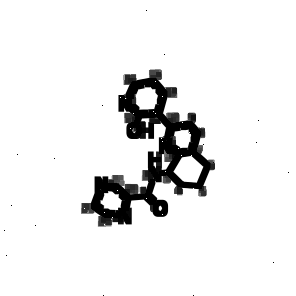 O=C(NC1CCCc2ccc(-c3cccnc3O)nc21)c1cnccn1